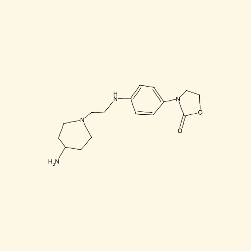 NC1CCN(CCNc2ccc(N3CCOC3=O)cc2)CC1